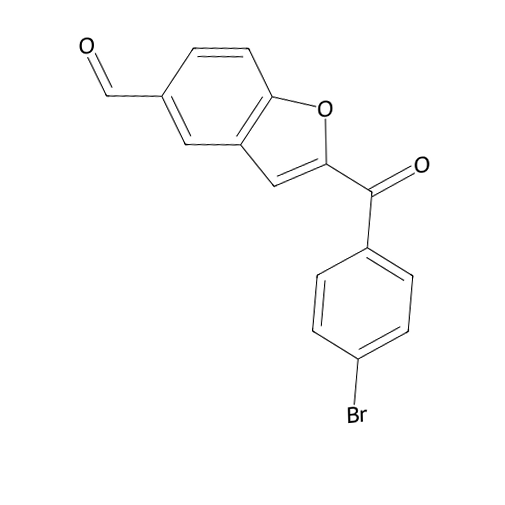 O=Cc1ccc2oc(C(=O)c3ccc(Br)cc3)cc2c1